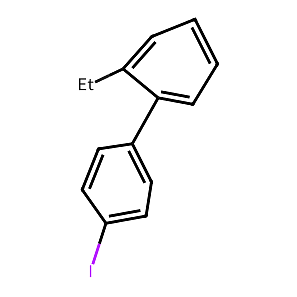 CCc1ccccc1-c1ccc(I)cc1